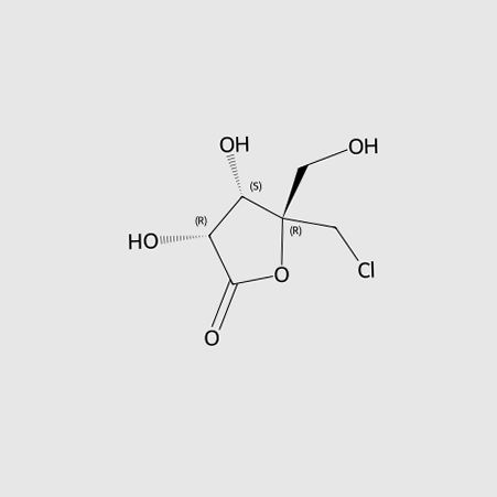 O=C1O[C@@](CO)(CCl)[C@@H](O)[C@H]1O